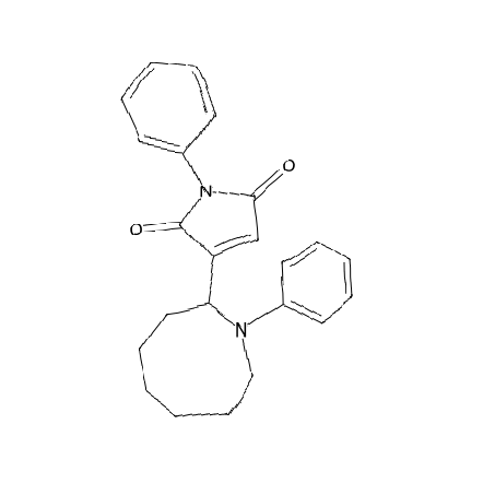 O=C1C=C(C2CCCCCCN2c2ccccc2)C(=O)N1c1ccccc1